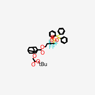 CC(C)(C)OC(=O)COC12CC3CC(C1)CC(C(=O)OCCC(F)(F)C(F)(F)S(=O)(=O)OS(c1ccccc1)(c1ccccc1)c1ccccc1)(C3)C2